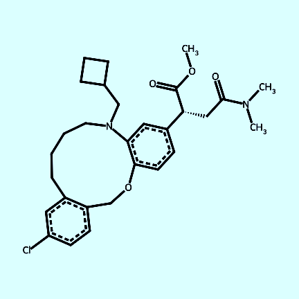 COC(=O)[C@H](CC(=O)N(C)C)c1ccc2c(c1)N(CC1CCC1)CCCCc1cc(Cl)ccc1CO2